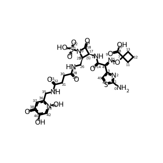 Nc1nc(C(=NOC2(C(=O)O)CCC2)C(=O)N[C@@H]2C(=O)N(S(=O)(=O)O)[C@@H]2CNC(=O)CCC(=O)NCc2cc(=O)c(O)cn2O)cs1